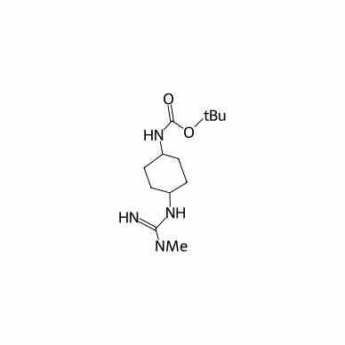 CNC(=N)NC1CCC(NC(=O)OC(C)(C)C)CC1